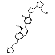 C=C1c2ccc(OC[C@H]3CCCO3)cc2C=CN1c1ccc(N2CCC(N3CCC[C@H]3CO)C2)c(F)c1